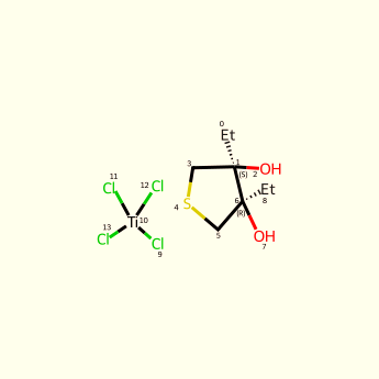 CC[C@@]1(O)CSC[C@@]1(O)CC.[Cl][Ti]([Cl])([Cl])[Cl]